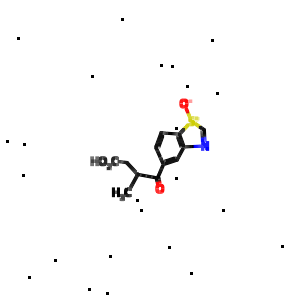 CC(CC(=O)O)C(=O)c1ccc2c(c1)nc[s+]2[O-]